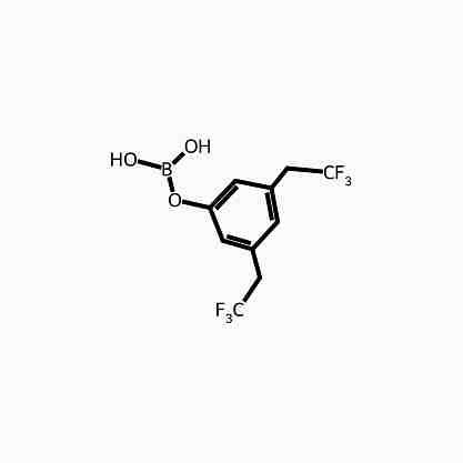 OB(O)Oc1cc(CC(F)(F)F)cc(CC(F)(F)F)c1